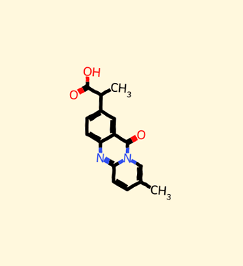 Cc1ccc2nc3ccc(C(C)C(=O)O)cc3c(=O)n2c1